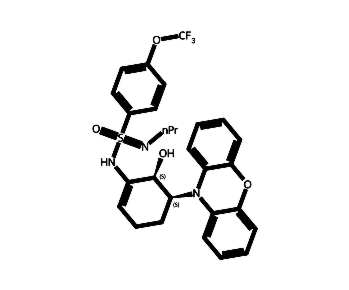 CCCN=S(=O)(NC1=CCC[C@H](N2c3ccccc3Oc3ccccc32)[C@@H]1O)c1ccc(OC(F)(F)F)cc1